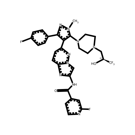 Cn1nc(-c2ccc(F)cc2)c(-c2ccc3nc(NC(=O)c4ccnc(F)c4)cn3n2)c1N1CCN(C[C@H](O)C(F)(F)F)CC1